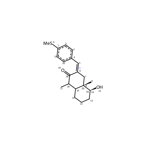 CSc1ccc(/C=C2/C[C@@]3(C)C(CCC[C@@H]3O)C(C)C2=O)cc1